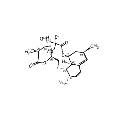 CCC(C)(C)C(=O)O[C@H]1C[C@@H](C)C=C2C=C[C@H](C)[C@H](CC[C@@H]3C[C@@H](O)[C@H](C)C(=O)O3)[C@H]21